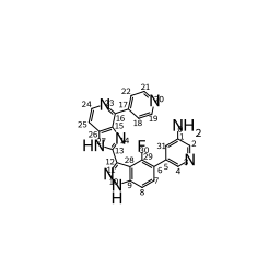 Nc1cncc(-c2ccc3[nH]nc(-c4nc5c(-c6ccncc6)nccc5[nH]4)c3c2F)c1